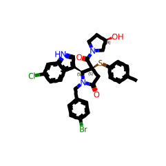 Cc1ccc(S[C@@]2(C(=O)N3CC[C@@H](O)C3)CC(=O)N(Cc3ccc(Br)cc3)[C@H]2c2c[nH]c3cc(Cl)ccc23)cc1